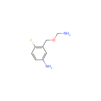 NCOCc1cc(N)ccc1F